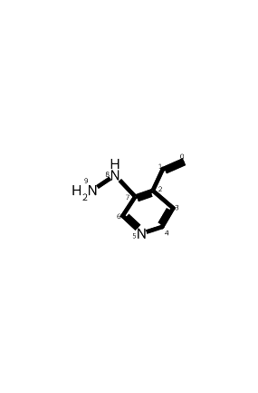 C=Cc1ccncc1NN